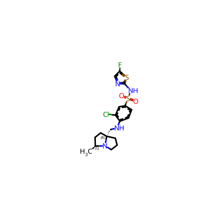 C[C@H]1CC[C@@]2(CNc3ccc(S(=O)(=O)Nc4ncc(F)s4)cc3Cl)CCCN12